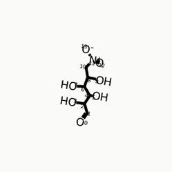 O=CC(O)C(O)C(O)C(O)C[N+](=O)[O-]